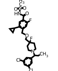 CCC(c1cc(Cl)cc(Cl)c1)N1CCC(F)(COCc2cc(F)c(C(=O)NS(C)(=O)=O)cc2C2CC2)CC1